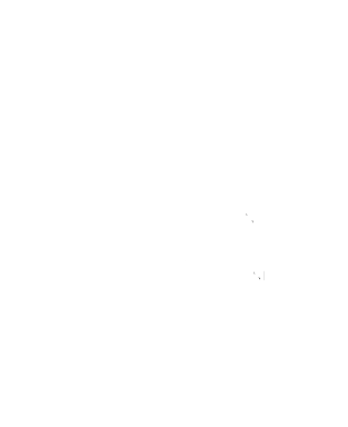 [c]1c[nH]nc1CC1CCCCC1